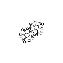 O=[N+]([O-])c1c(Cl)c([N+](=O)[O-])c(N=Nc2c([N+](=O)[O-])c(Cl)c([N+](=O)[O-])c(Cl)c2[N+](=O)[O-])c([N+](=O)[O-])c1Cl